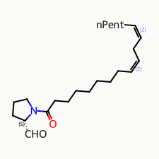 CCCCC/C=C\C/C=C\CCCCCCCC(=O)N1CCC[C@H]1C=O